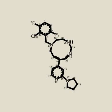 Fc1ccc(F)c(CN2C/C=C(c3ccnc(N4CCCC4)c3)\C=N/CNCC2)c1Cl